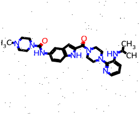 CC(C)Nc1cccnc1N1CCN(C(=O)c2cc3cc(NC(=O)N4CCN(C)CC4)ccc3[nH]2)CC1